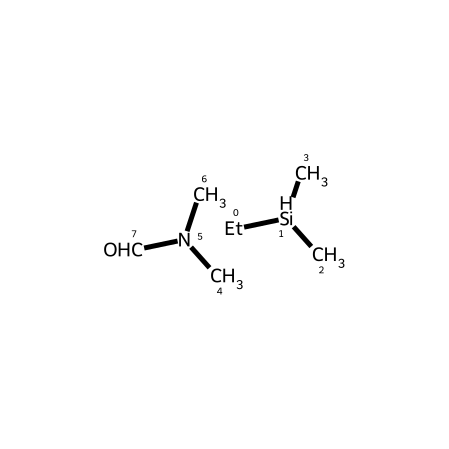 CC[SiH](C)C.CN(C)C=O